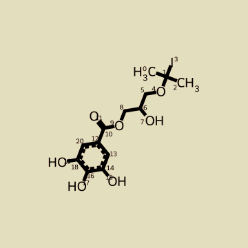 CC(C)(I)OCC(O)COC(=O)c1cc(O)c(O)c(O)c1